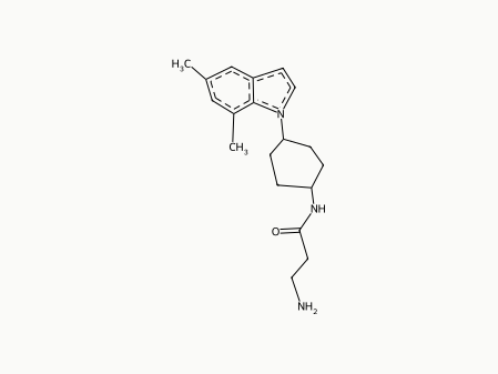 Cc1cc(C)c2c(ccn2C2CCC(NC(=O)CCN)CC2)c1